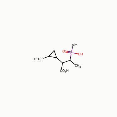 CCCP(=O)(O)C(C)C(C(=O)O)C1CC1C(=O)O